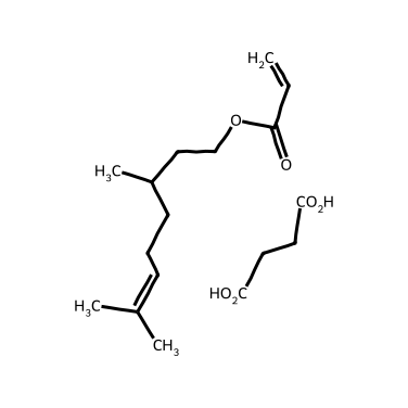 C=CC(=O)OCCC(C)CCC=C(C)C.O=C(O)CCC(=O)O